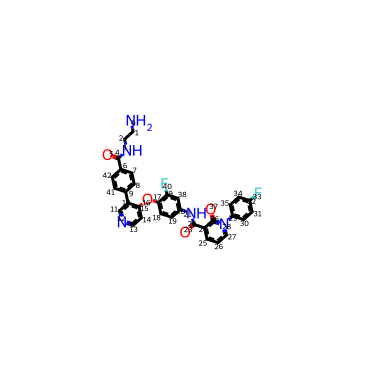 NCCNC(=O)c1ccc(-c2cnccc2Oc2ccc(NC(=O)c3cccn(-c4ccc(F)cc4)c3=O)cc2F)cc1